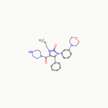 C=CCn1c(C(=O)N2CCNCC2)c(-c2ccccc2)n(-c2cccc(N3CCOCC3)c2)c1=O